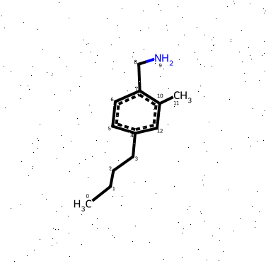 CCCCc1ccc(CN)c(C)c1